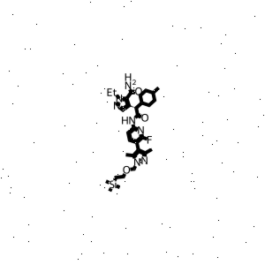 CCn1ncc([C@@H](C(=O)Nc2ccc(-c3c(C)nn(COCC[Si](C)(C)C)c3C)c(F)n2)C2CCC(C)CC2)c1C(N)=O